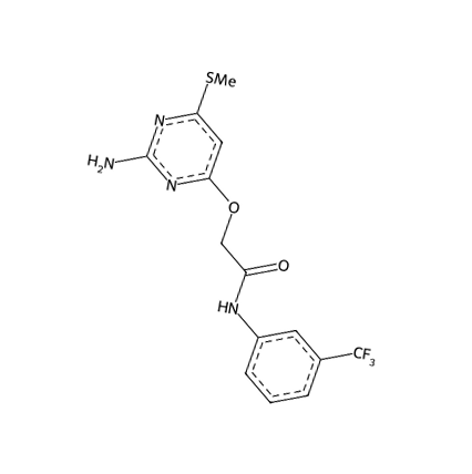 CSc1cc(OCC(=O)Nc2cccc(C(F)(F)F)c2)nc(N)n1